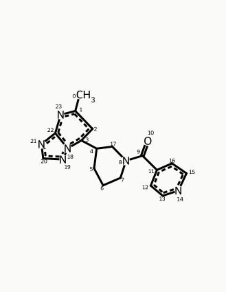 Cc1cc(C2CCCN(C(=O)c3ccncc3)C2)n2ncnc2n1